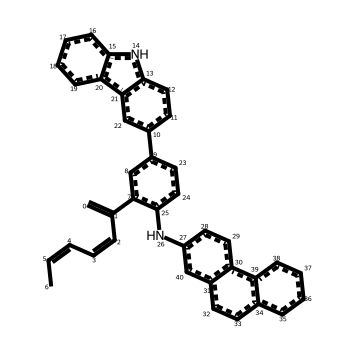 C=C(/C=C\C=C/C)c1cc(-c2ccc3[nH]c4ccccc4c3c2)ccc1Nc1ccc2c(ccc3ccccc32)c1